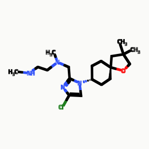 CNCCN(C)Cc1nc(Cl)cn1[C@H]1CC[C@@]2(CC1)CC(C)(C)CO2